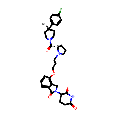 N#CC1(c2ccc(F)cc2)CCN(C(=O)[C@@H]2CCCN2CCCOc2cccc3c2CN(C2CCC(=O)NC2=O)C3=O)CC1